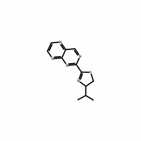 CC(C)C1CSC(c2ncc3nccnc3n2)=N1